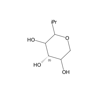 CC(C)C1OCC(O)[C@H](O)C1O